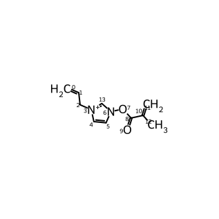 C=CC[n+]1ccn(OC(=O)C(=C)C)c1